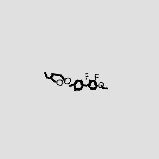 C=CC1CCC(OCc2ccc(-c3ccc(OCC)c(F)c3F)cc2)OC1